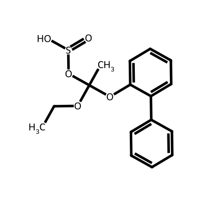 CCOC(C)(Oc1ccccc1-c1ccccc1)OS(=O)O